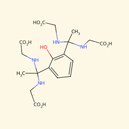 CC(NCC(=O)O)(NCC(=O)O)c1cccc(C(C)(NCC(=O)O)NCC(=O)O)c1O